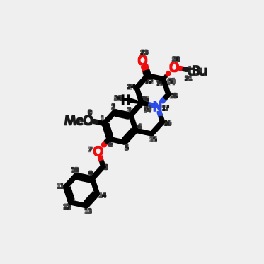 COc1cc2c(cc1OCc1ccccc1)CCN1C[C@H](OC(C)(C)C)C(=O)C[C@@H]21